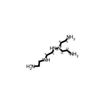 NCCNCCNN(CCN)CCN